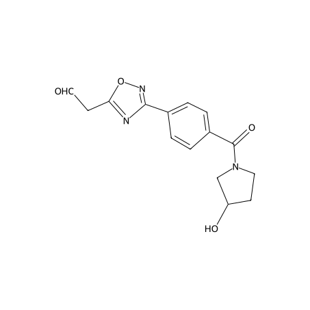 O=CCc1nc(-c2ccc(C(=O)N3CCC(O)C3)cc2)no1